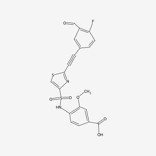 COc1cc(C(=O)O)ccc1NS(=O)(=O)c1csc(C#Cc2ccc(F)c(C=O)c2)n1